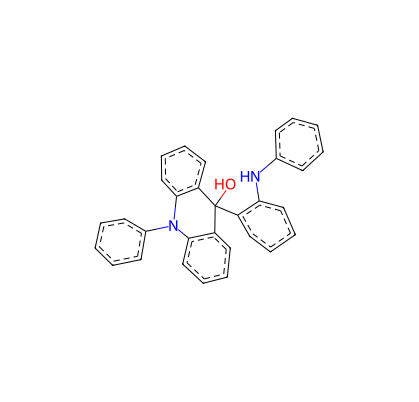 OC1(c2ccccc2Nc2ccccc2)c2ccccc2N(c2ccccc2)c2ccccc21